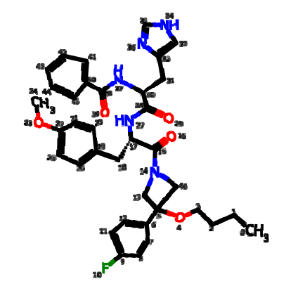 CCCCOC1(c2ccc(F)cc2)CN(C(=O)[C@H](Cc2ccc(OC)cc2)NC(=O)[C@H](Cc2c[nH]cn2)NC(=O)c2ccccc2)C1